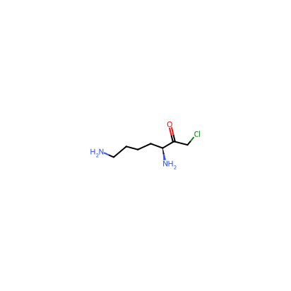 NCCCC[C@H](N)C(=O)CCl